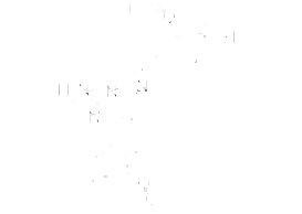 COc1cccc(-c2cc(N3CCc4cc(OC)c(OC)cc4C3)nc(N)n2)c1